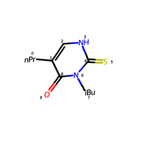 CCCc1c[nH]c(=S)n(C(C)CC)c1=O